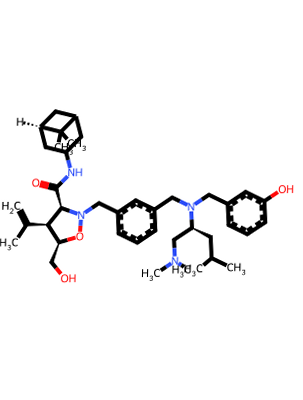 C=C(C)[C@@H]1[C@H](CO)ON(Cc2cccc(CN(Cc3cccc(O)c3)[C@@H](CC(C)C)CN(C)C)c2)[C@@H]1C(=O)NC1CC2C[C@H](C1)C2(C)C